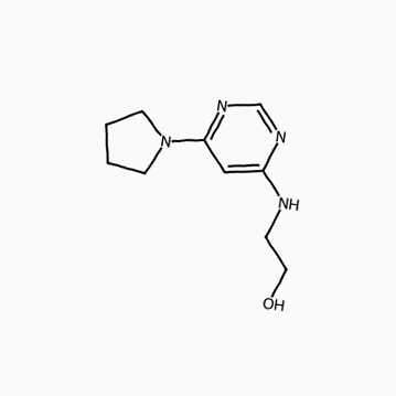 OCCNc1cc(N2CCCC2)ncn1